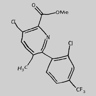 COC(=O)c1nc(-c2ccc(C(F)(F)F)cc2Cl)c(C)cc1Cl